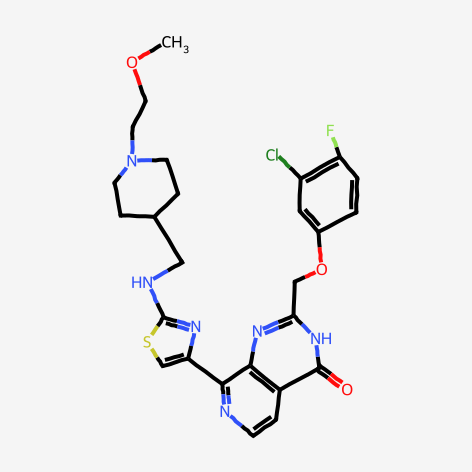 COCCN1CCC(CNc2nc(-c3nccc4c(=O)[nH]c(COc5ccc(F)c(Cl)c5)nc34)cs2)CC1